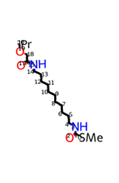 CSC(=O)NCCCCCCCCCCCNC(=O)COC(C)C